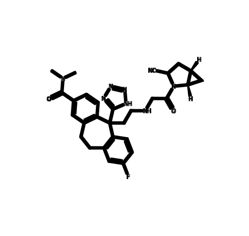 CN(C)C(=O)c1ccc2c(c1)CCc1cc(F)ccc1C2(CCNCC(=O)N1C(C#N)C[C@@H]2C[C@@H]21)c1nnn[nH]1